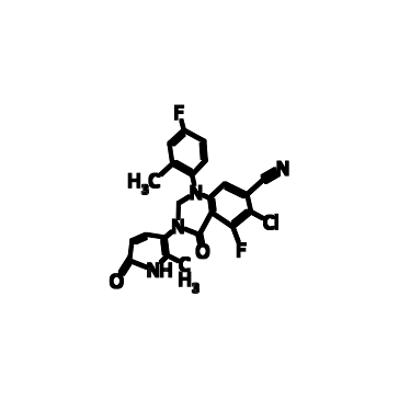 Cc1cc(F)ccc1N1CN(c2ccc(=O)[nH]c2C)C(=O)c2c1cc(C#N)c(Cl)c2F